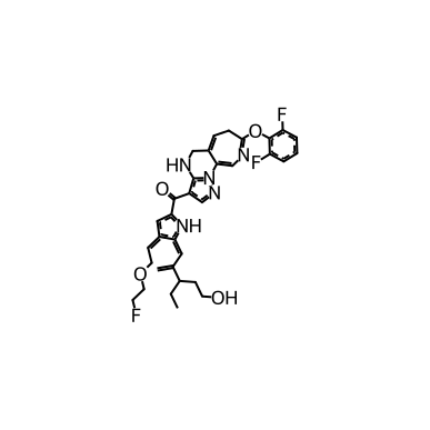 C=C(/C=c1/[nH]c(C(=O)c2cnn3c2NCC2=CCC(Oc4c(F)cccc4F)=NC=C23)c/c1=C/COCCF)C(CC)CCO